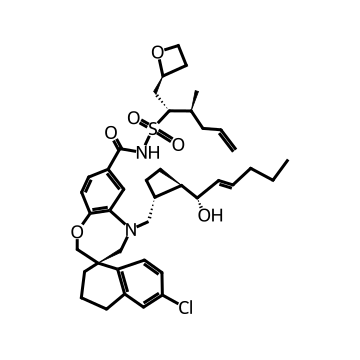 C=CC[C@H](C)[C@@H](C[C@@H]1CCO1)S(=O)(=O)NC(=O)c1ccc2c(c1)N(C[C@@H]1CC[C@H]1[C@@H](O)/C=C/CCC)C[C@@]1(CCCc3cc(Cl)ccc31)CO2